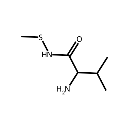 CSNC(=O)C(N)C(C)C